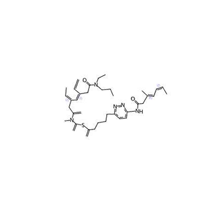 C=C/C(=C\C(=C/C)CC(=C)N(C)C(=C)SC(=C)CCCCc1ccc(NC(=O)C/C(C)=C/C=C\C)nn1)CC(=O)N(CC)CCC